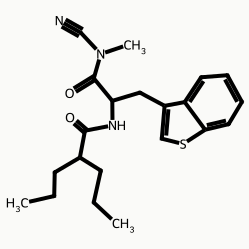 CCCC(CCC)C(=O)NC(Cc1csc2ccccc12)C(=O)N(C)C#N